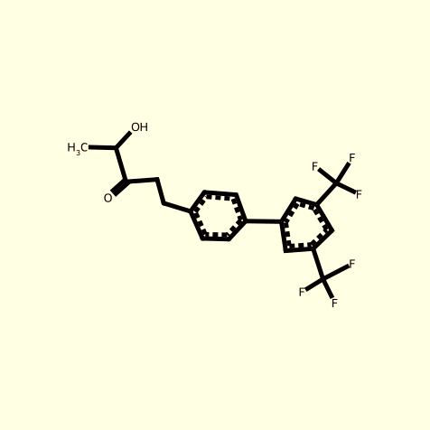 CC(O)C(=O)CCc1ccc(-c2cc(C(F)(F)F)cc(C(F)(F)F)c2)cc1